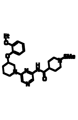 CCOc1ccccc1OC1CCCN(c2cncc(NC(=O)C3CCN(SC)CC3)n2)C1